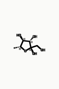 C[C@H]1O[C@@](O)(CO)[C@@H](O)[C@@H]1O